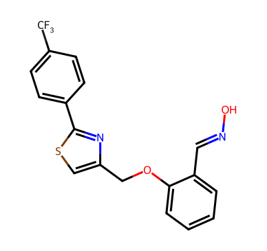 ON=Cc1ccccc1OCc1csc(-c2ccc(C(F)(F)F)cc2)n1